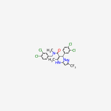 CC1=C(C(=O)N(C)Cc2ccc(Cl)c(Cl)c2)C(c2ccc(Cl)c(Cl)c2)n2nc(C(F)(F)F)cc2N1